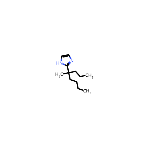 CCCCC(C)(CCC)c1ncc[nH]1